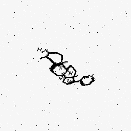 CC1C(N)CC[C@@]2(C)C1CC[C@@H]1[C@@H]2CC[C@]2(C)C(c3cccnc3)=CC[C@@H]12